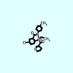 CC=NN(C(=O)c1cc(Cl)ccc1NC(=O)c1cccnc1)c1ccc(C)cc1